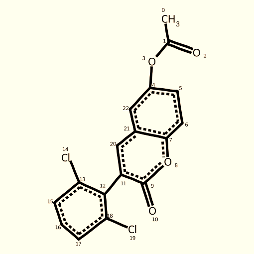 CC(=O)Oc1ccc2oc(=O)c(-c3c(Cl)cccc3Cl)cc2c1